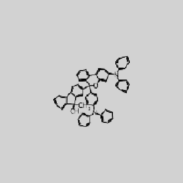 CC1(C)c2ccccc2-c2ccc(C3(c4ccc(N(c5ccccc5)c5ccccc5)cc4)Oc4cc(N(c5ccccc5)c5ccccc5)ccc4-c4ccccc43)cc21